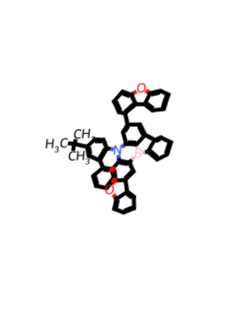 CC(C)(C)c1ccc(N2c3cc4oc5ccccc5c4cc3B3c4ccccc4-c4cc(-c5cccc6oc7ccccc7c56)cc2c43)c(-c2ccccc2)c1